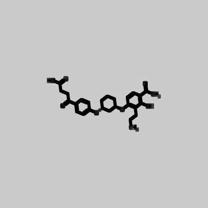 CCCc1c(O[C@@H]2CCC[C@@H](Oc3ccc(C(=O)CCC(=O)O)cc3)C2)ccc(C(C)=O)c1O